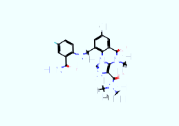 [2H]C(C)(Nc1ccc(F)cc1C(N)=O)c1cc(C)cc2c(=O)n(C([2H])([2H])[2H])c3c(C(=O)N(C([2H])([2H])[2H])C([2H])([2H])[2H])ncn3c12